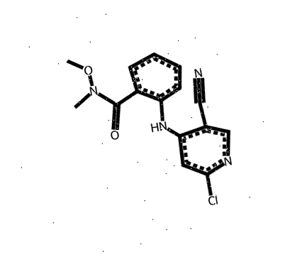 CON(C)C(=O)c1ccccc1Nc1cc(Cl)ncc1C#N